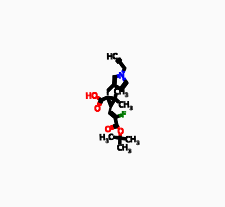 C#CCn1ccc(C[C@@]2(C(=O)O)[C@H](C=C(F)C(=O)OC(C)(C)C)C2(C)C)c1